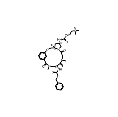 CN1C[C@H](NC(=O)OCc2ccccc2)C(=O)N(C)CC(=O)N2C[C@@H](NC(=O)OCC[Si](C)(C)C)C[C@H]2COc2cccc(c2)C1=O